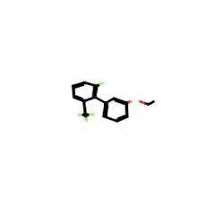 CCOc1cccc(-c2c(F)c[c]cc2C(F)(F)F)c1